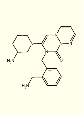 NCc1ccccc1CN1C(=O)N2N=CC=CN2C=C1N1CCCC(N)C1